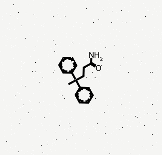 CC(CCC(N)=O)(c1ccccc1)c1ccccc1